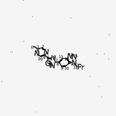 Cc1cnc(-c2nc(-c3ccc4c(c3)nnn4C(C)C)no2)cn1